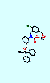 CC(C)(C)OC(=O)N(Cc1cc(CO)ccc1Br)c1cccc(CO[Si](c2ccccc2)(c2ccccc2)C(C)(C)C)c1